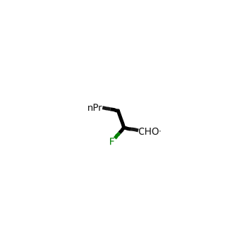 CCCCC(F)[C]=O